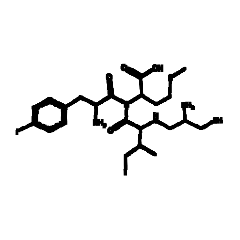 CCC(C)C(NCC(N)CS)C(=O)N(C(=O)C(N)Cc1ccc(I)cc1)C(CCSC)C(=O)O